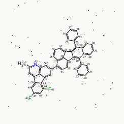 Cc1cc2c3c(cc(-c4ccc5c6c(cccc46)-c4c-5c(-c5ccccc5)c5ccccc5c4-c4ccccc4)cc3n1)-c1c(F)cc(F)cc1-2